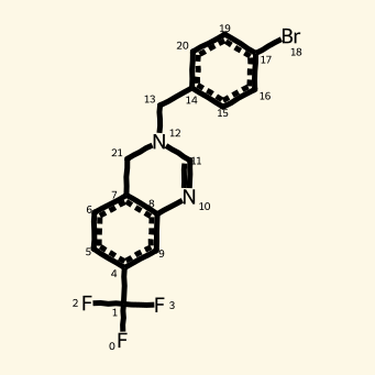 FC(F)(F)c1ccc2c(c1)N=CN(Cc1ccc(Br)cc1)C2